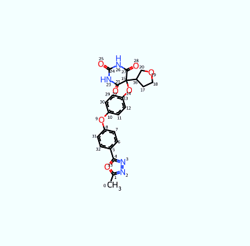 Cc1nnc(-c2ccc(Oc3ccc(OC4(C5CCOC5)C(=O)NC(=O)NC4=O)cc3)cc2)o1